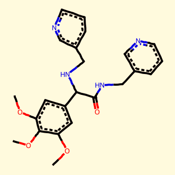 COc1cc(C(NCc2cccnc2)C(=O)NCc2cccnc2)cc(OC)c1OC